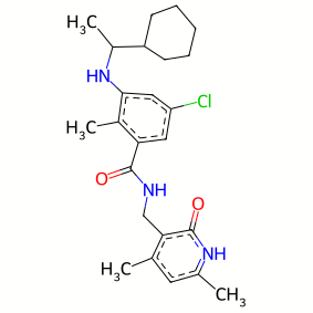 Cc1cc(C)c(CNC(=O)c2cc(Cl)cc(NC(C)C3CCCCC3)c2C)c(=O)[nH]1